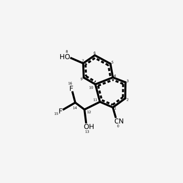 N#Cc1ccc2ccc(O)cc2c1C(O)C(F)F